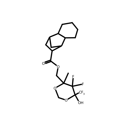 CC1(COC(=O)C2CC3CC2C2CCCCC32)OCOC(O)(C(F)(F)F)C1(F)F